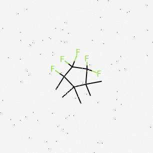 CC1(C)C(C)(C)C(F)(F)C(F)(F)C1(C)F